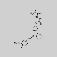 COc1cc(CCO[C@@H]2CCCC[C@H]2N2CC[C@@H](OC(=O)C(C)NC(=O)C(C)N)C2)ccc1C